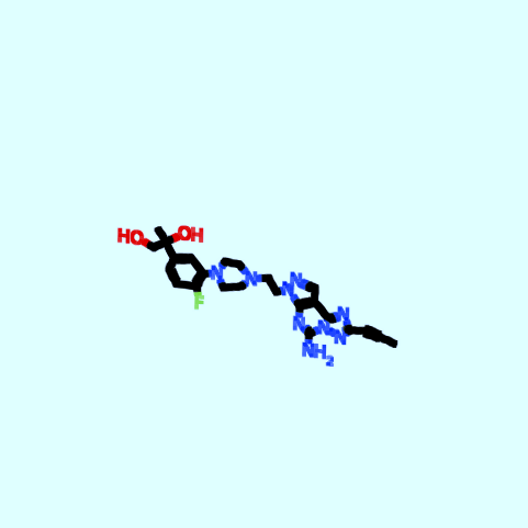 CC#Cc1nc2c3cnn(CCN4CCN(c5cc(C(C)(O)CO)ccc5F)CC4)c3nc(N)n2n1